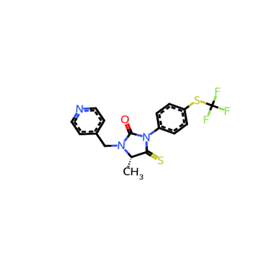 C[C@H]1C(=S)N(c2ccc(SC(F)(F)F)cc2)C(=O)N1Cc1ccncc1